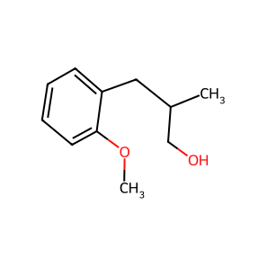 COc1ccccc1CC(C)CO